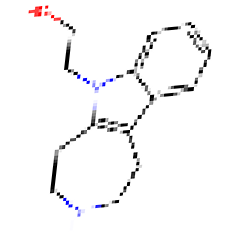 OCCn1c2c(c3ccccc31)CCNCC2